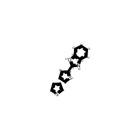 c1ccsc1.c1csc(-c2nc3ccccc3o2)c1